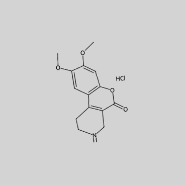 COc1cc2oc(=O)c3c(c2cc1OC)CCNC3.Cl